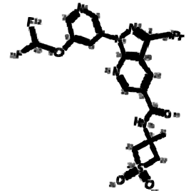 CC(C)c1nn(-c2cncc(OC(F)F)c2)c2ncc(C(=O)NC3(C)CS(=O)(=O)C3)cc12